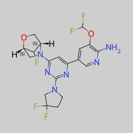 Nc1ncc(-c2cc(N3C[C@@H]4OC[C@H]3C4F)nc(N3CCC(F)(F)C3)n2)cc1OC(F)F